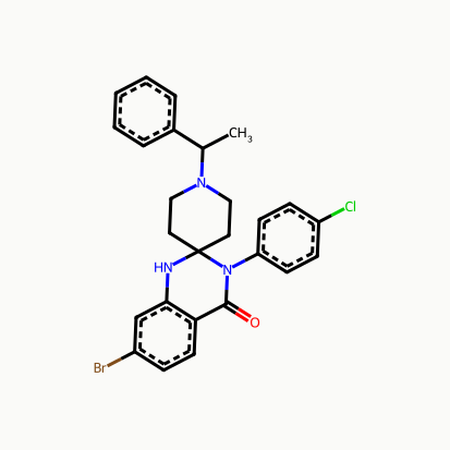 CC(c1ccccc1)N1CCC2(CC1)Nc1cc(Br)ccc1C(=O)N2c1ccc(Cl)cc1